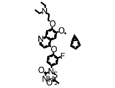 CCN(CC)CCOc1cc2nccc(Oc3ccc(N(SC(C)=O)C(N)=O)cc3F)c2cc1OC.c1cc2cc-2c1